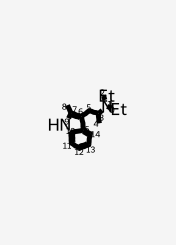 CCN(CC)C(C)Cc1c(C)[nH]c2ccccc12